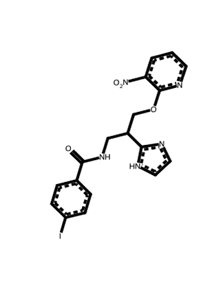 O=C(NCC(COc1ncccc1[N+](=O)[O-])c1ncc[nH]1)c1ccc(I)cc1